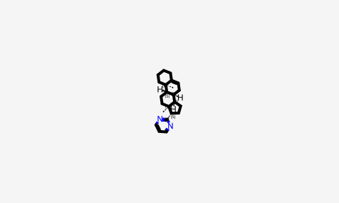 C[C@]12CC[C@H]3[C@@H](CC=C4CCCC[C@@]43C)[C@H]1CC[C@@H]2c1ncccn1